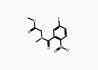 COC(=O)CN(C)C(=O)c1cc(F)ccc1[N+](=O)[O-]